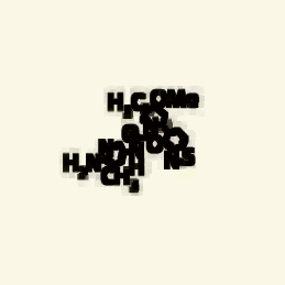 COC1C[C@@H](c2ccc3scnc3c2)N(C(=O)C(=O)Nc2cnc(N)c(C)c2)C[C@@H]1C